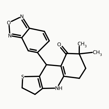 CC1(C)CCC2=C(C1=O)C(c1ccc3nonc3c1)C1=C(CCS1)N2